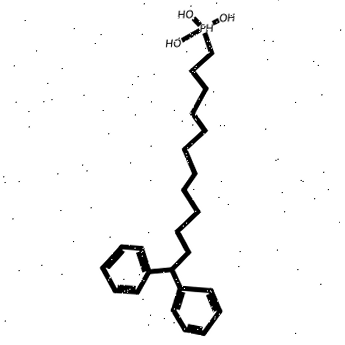 O[PH](O)(O)CCCCCCCCCCCC(c1ccccc1)c1ccccc1